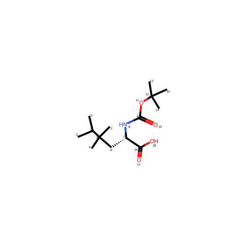 CC(C)C(C)(C)C[C@H](NC(=O)OC(C)(C)C)C(=O)O